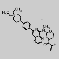 CC[N+]1(CC)CCC(c2ccc(-c3cc4nccnc4c(N(C)[C@H]4CN(C(=O)C(F)F)CCO4)n3)cc2)CC1.[I-]